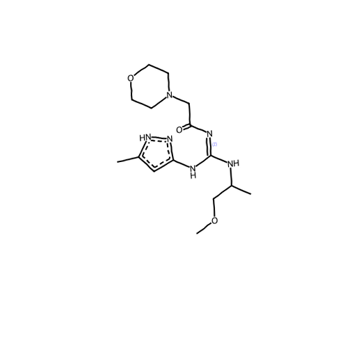 COCC(C)N/C(=N/C(=O)CN1CCOCC1)Nc1cc(C)[nH]n1